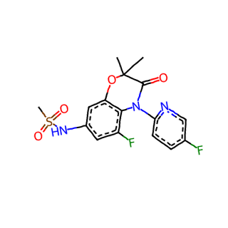 CC1(C)Oc2cc(NS(C)(=O)=O)cc(F)c2N(c2ccc(F)cn2)C1=O